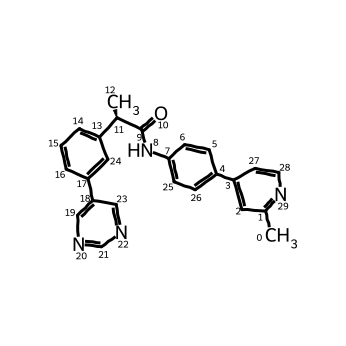 Cc1cc(-c2ccc(NC(=O)[C@H](C)c3cccc(-c4cncnc4)c3)cc2)ccn1